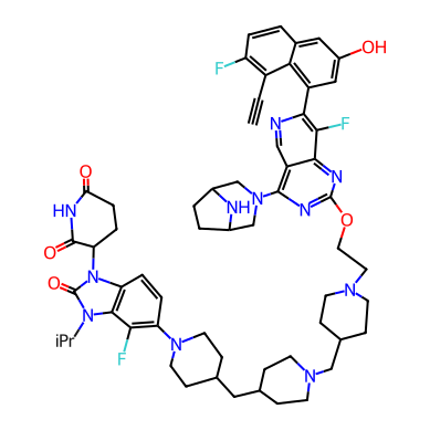 C#Cc1c(F)ccc2cc(O)cc(-c3ncc4c(N5CC6CCC(C5)N6)nc(OCCN5CCC(CN6CCC(CC7CCN(c8ccc9c(c8F)n(C(C)C)c(=O)n9C8CCC(=O)NC8=O)CC7)CC6)CC5)nc4c3F)c12